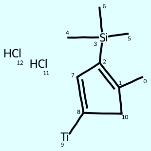 CC1=C([Si](C)(C)C)C=[C]([Ti])C1.Cl.Cl